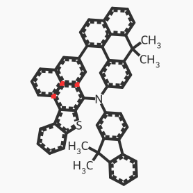 CC1(C)c2ccccc2-c2ccc(N(c3ccc4c(c3)-c3c(-c5ccc6ccccc6c5)ccc5cccc(c35)C4(C)C)c3cccc4c3sc3ccccc34)cc21